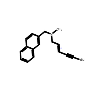 CN(C/C=C/C#CC(C)(C)C)Cc1ccc2ccccc2c1